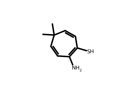 CC1(C)C=CC(N)=C(S)C=C1